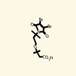 CC(C)(CC(=O)O)OCCC(C)(C)N1C(=O)C(Br)=C(Br)C1=O